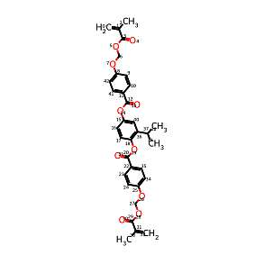 C=C(C)C(=O)OCOc1ccc(C(=O)Oc2ccc(OC(=O)c3ccc(OCOC(=O)C(=C)C)cc3)c(C(C)C)c2)cc1